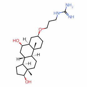 C[C@]12CC[C@H](OCCCNC(=N)N)C[C@@H]1[C@H](O)C[C@@H]1[C@@H]2CC[C@]2(C)[C@@H](O)CC[C@@H]12